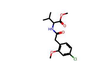 COC(=O)C(NC(=O)Cc1ccc(Cl)cc1OC)C(C)C